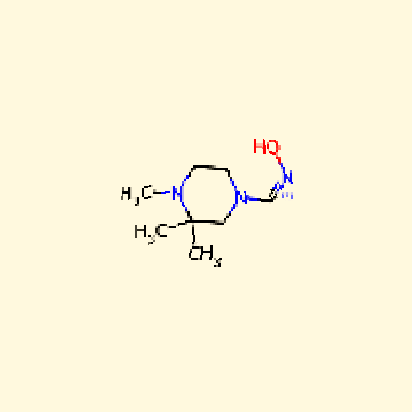 CN1CCN(/C=N\O)CC1(C)C